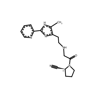 Cc1[nH]c(-c2ccccn2)nc1CCNCC(=O)N1CCC[C@H]1C#N